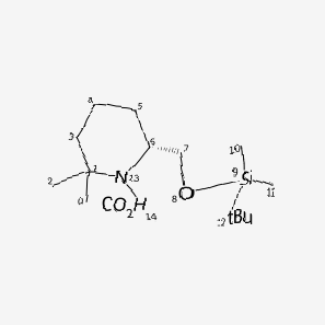 CC1(C)CCC[C@H](CO[Si](C)(C)C(C)(C)C)N1C(=O)O